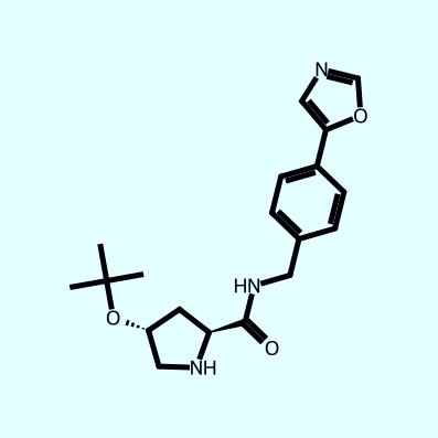 CC(C)(C)O[C@H]1CN[C@H](C(=O)NCc2ccc(-c3cnco3)cc2)C1